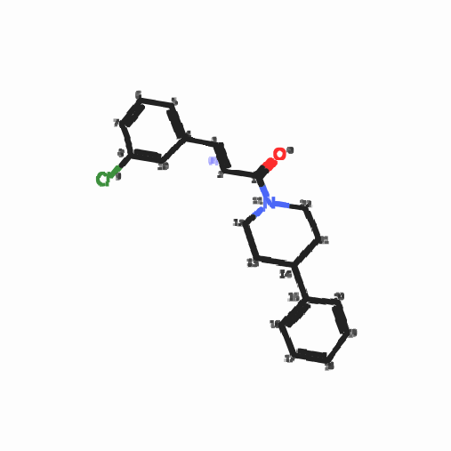 O=C(/C=C/c1cccc(Cl)c1)N1CCC(c2ccccc2)CC1